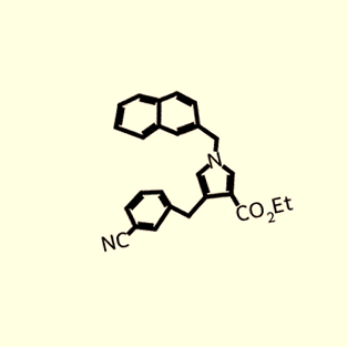 CCOC(=O)c1cn(Cc2ccc3ccccc3c2)cc1Cc1cccc(C#N)c1